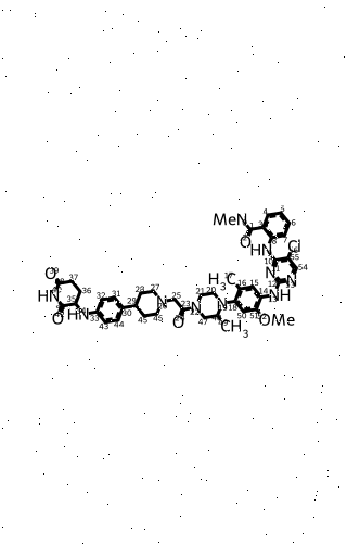 CNC(=O)c1ccccc1Nc1nc(Nc2cc(C)c(N3CCN(C(=O)CN4CCC(c5ccc(NC6CCC(=O)NC6=O)cc5)CC4)CC3C)cc2OC)ncc1Cl